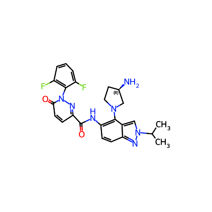 CC(C)n1cc2c(N3CC[C@@H](N)C3)c(NC(=O)c3ccc(=O)n(-c4c(F)cccc4F)n3)ccc2n1